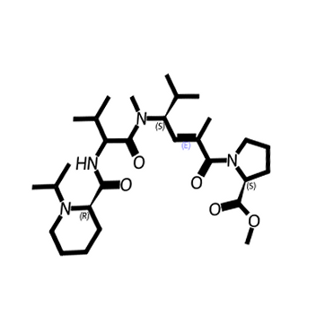 COC(=O)[C@@H]1CCCN1C(=O)/C(C)=C/[C@H](C(C)C)N(C)C(=O)C(NC(=O)[C@H]1CCCCN1C(C)C)C(C)C